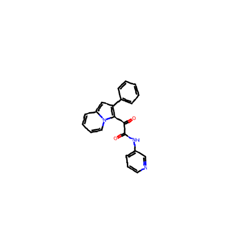 O=C(Nc1cccnc1)C(=O)c1c(-c2ccccc2)cc2ccccn12